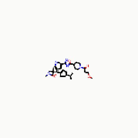 COCCC(=O)N1CCC(c2nc(-c3cncc([C@@](O)(c4ccc(C(C)C)cc4)C4(C)CN(C)C4)c3)no2)CC1